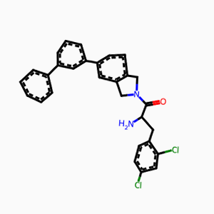 NC(Cc1ccc(Cl)cc1Cl)C(=O)N1Cc2ccc(-c3cccc(-c4ccccc4)c3)cc2C1